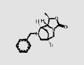 C[C@H]1OC(=O)N2C[C@@H]3CC[C@H]([C@H]12)N(Cc1ccccc1)C3